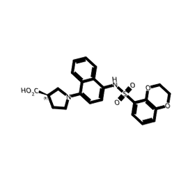 O=C(O)[C@@H]1CCN(c2ccc(NS(=O)(=O)c3cccc4c3OCCO4)c3ccccc23)C1